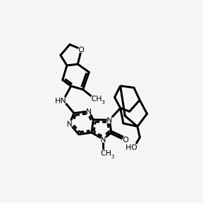 CC1=CC2OCCC2C=C1Nc1ncc2c(n1)n(C13CC4CC(CC(CO)(C4)C1)C3)c(=O)n2C